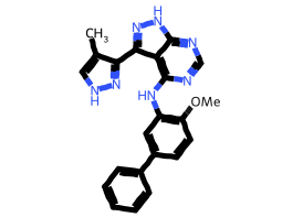 COc1ccc(-c2ccccc2)cc1Nc1ncnc2[nH]nc(-c3n[nH]cc3C)c12